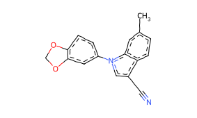 Cc1ccc2c(C#N)cn(-c3ccc4c(c3)OCO4)c2c1